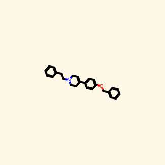 C1=C(c2ccc(OCc3ccccc3)cc2)CCN(CCc2ccccc2)C1